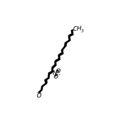 CC/C=C/C/C=C/C/C=C/C=C/C=C/C(=C/C/C=C/CC[C]=O)[N+](=O)[O-]